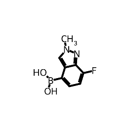 Cn1cc2c(B(O)O)ccc(F)c2n1